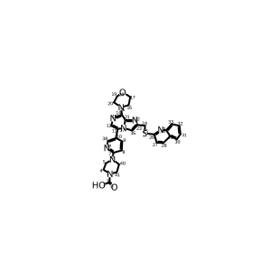 O=C(O)N1CCN(c2ccc(-c3cnc(N4CCOCC4)c4nc(CSc5ccc6ccccc6n5)cn34)cn2)CC1